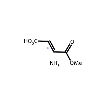 COC(=O)/C=C/C(=O)O.N